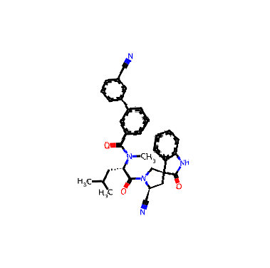 CC(C)C[C@@H](C(=O)N1C[C@]2(C[C@H]1C#N)C(=O)Nc1ccccc12)N(C)C(=O)c1cccc(-c2cccc(C#N)c2)c1